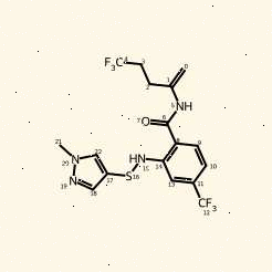 C=C(CCC(F)(F)F)NC(=O)c1ccc(C(F)(F)F)cc1NSc1cnn(C)c1